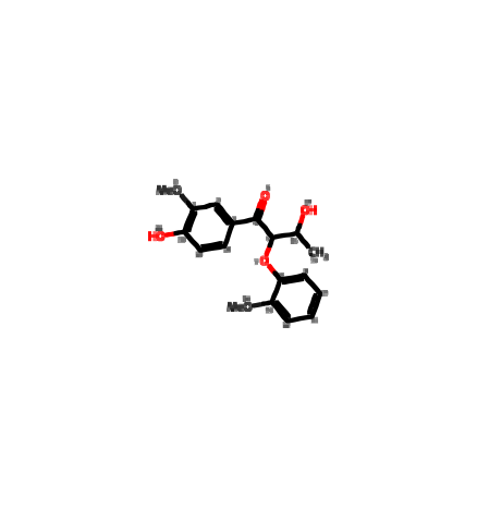 COc1cc(C(=O)C(Oc2ccccc2OC)C(C)O)ccc1O